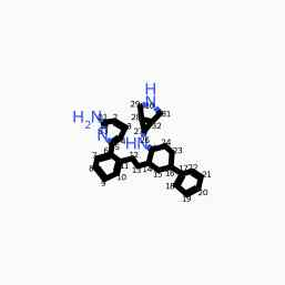 Nc1cccc(-c2ccccc2CCC2CC(c3ccccc3)CCC2NC2C3CNCC32)n1